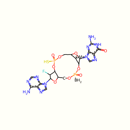 B[P@]1(=O)OCC2OC(n3cnc4c(N)ncnc43)C(F)C2O[P@@](=O)(S)OCC2OC(n3cnc4c(=O)[nH]c(N)nc43)C(O1)C2OC